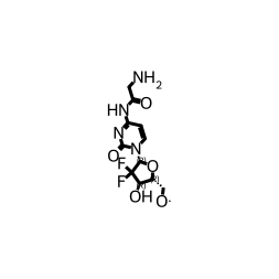 NCC(=O)Nc1ccn([C@@H]2O[C@H](C[O])[C@@H](O)C2(F)F)c(=O)n1